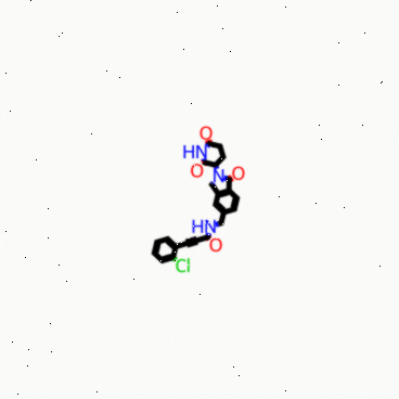 O=C(C#Cc1ccccc1Cl)NCc1ccc2c(c1)CN(C1CCC(=O)NC1=O)C2=O